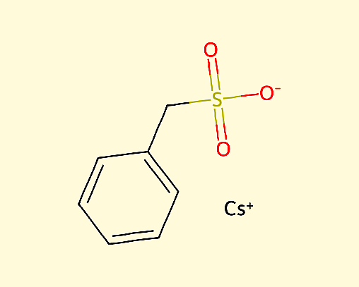 O=S(=O)([O-])Cc1ccccc1.[Cs+]